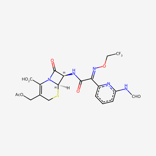 CC(=O)OCC1=C(C(=O)O)N2C(=O)[C@@H](NC(=O)C(=NOCC(F)(F)F)c3cccc(NC=O)n3)[C@H]2SC1